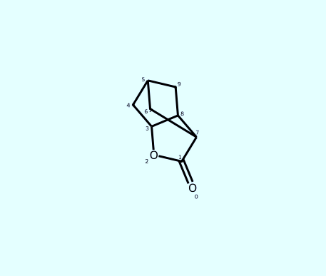 O=C1OC2CC3[CH]C1C2C3